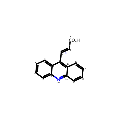 O=C(O)/C=C/c1c2ccccc2nc2ccccc12